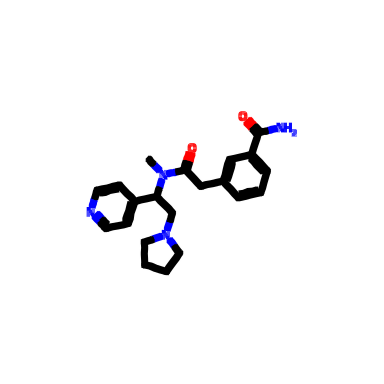 CN(C(=O)Cc1cccc(C(N)=O)c1)C(CN1CCCC1)c1ccncc1